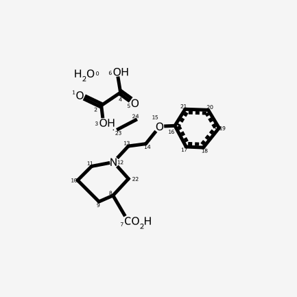 O.O=C(O)C(=O)O.O=C(O)C1CCCN(CCOc2ccccc2)C1.[CH2]C